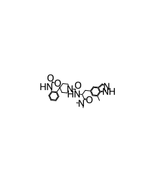 Cc1cc(CC(NC(=O)N2CCC3(CC2)OC(=O)Nc2ccccc23)C(=O)N(C)C)cc2cn[nH]c12